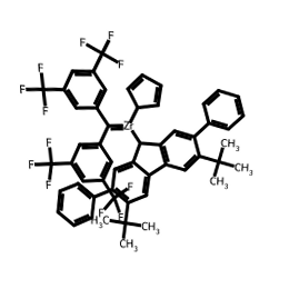 CC(C)(C)c1cc2c(cc1-c1ccccc1)[CH]([Zr](=[C](c1cc(C(F)(F)F)cc(C(F)(F)F)c1)c1cc(C(F)(F)F)cc(C(F)(F)F)c1)[CH]1C=CC=C1)c1cc(-c3ccccc3)c(C(C)(C)C)cc1-2